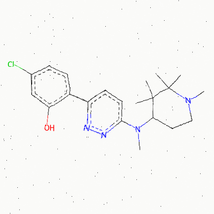 CN(c1ccc(-c2ccc(Cl)cc2O)nn1)C1CCN(C)C(C)(C)C1(C)C